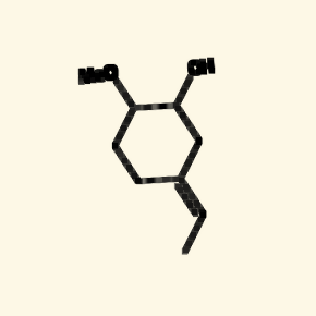 CC=C1CCC(OC)C(O)C1